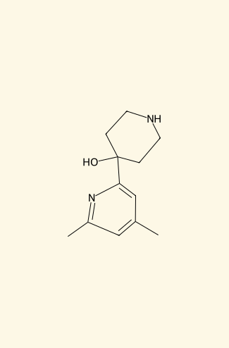 Cc1cc(C)nc(C2(O)CCNCC2)c1